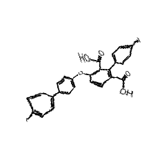 O=C(O)c1ccc(Oc2ccc(-c3ccc(I)cc3)cc2)c(C(=O)O)c1-c1ccc(I)cc1